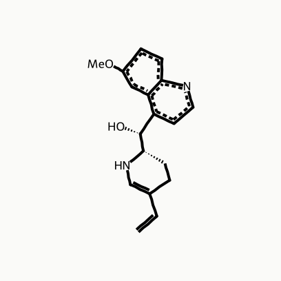 C=CC1=CN[C@H]([C@H](O)c2ccnc3ccc(OC)cc23)CC1